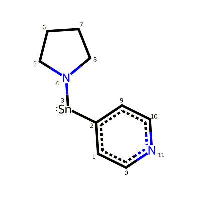 c1c[c]([Sn][N]2CCCC2)ccn1